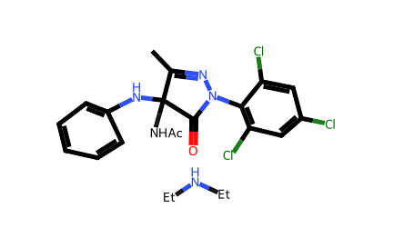 CC(=O)NC1(Nc2ccccc2)C(=O)N(c2c(Cl)cc(Cl)cc2Cl)N=C1C.CCNCC